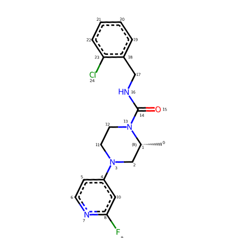 C[C@@H]1CN(c2ccnc(F)c2)CCN1C(=O)NCc1ccccc1Cl